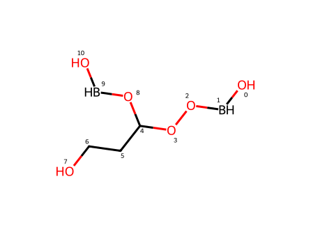 OBOOC(CCO)OBO